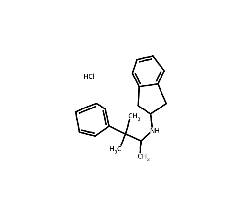 CC(NC1Cc2ccccc2C1)C(C)(C)c1ccccc1.Cl